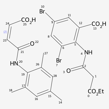 CCOC(=O)CC(=O)Nc1c(Br)cc(Br)cc1C(=O)O.Cc1cc(C)c(NC(=O)/C=C\C(=O)O)c(C)c1